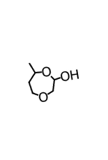 CC1CCOCC(O)O1